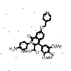 COC(=O)c1c(-c2cc(OC)c(Br)c(OC)c2)c2ccc(OCc3ccncc3)cc2c(=O)n1-c1ccc(N)cc1